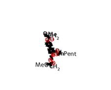 C=C(COC)C(=O)OCCOc1ccc(-c2ccc(OC(=O)C(=C)COC)cc2)cc1C1OCC(CCCCC)CO1